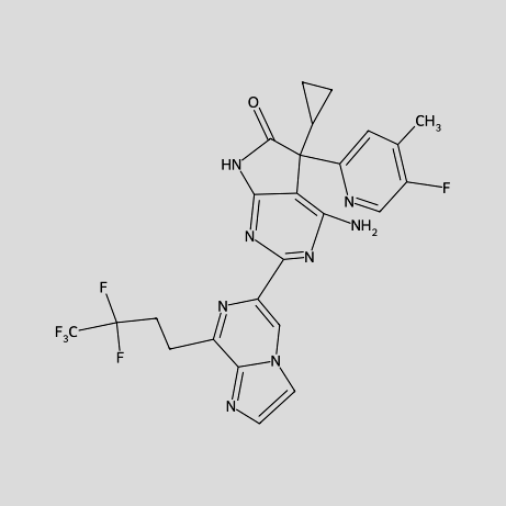 Cc1cc(C2(C3CC3)C(=O)Nc3nc(-c4cn5ccnc5c(CCC(F)(F)C(F)(F)F)n4)nc(N)c32)ncc1F